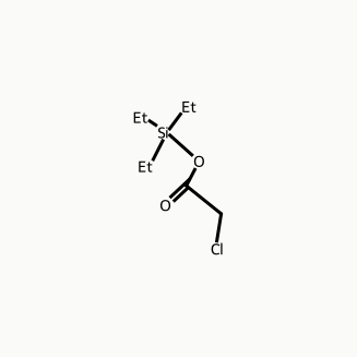 CC[Si](CC)(CC)OC(=O)CCl